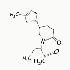 CCC(C(N)=O)N1CC(c2cc(C)cs2)CCC1=O